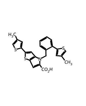 Cc1csc(-c2cc3c(cc(C(=O)O)n3Cc3ccccc3-c3cc(C)cs3)s2)c1